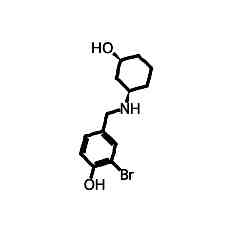 Oc1ccc(CN[C@@H]2CCC[C@H](O)C2)cc1Br